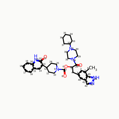 Cc1cc(CC(OC(=O)N2CCC(c3cc4ccccc4[nH]c3=O)CC2)C(=O)N2CCN(C3CCCCC3)CC2)cc2cn[nH]c12